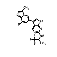 Cc1cnc2c(F)cc(-c3c[nH]c4nc(N[C@@H](C)C(F)(F)F)ncc34)cn12